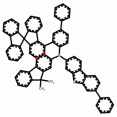 CC1(C)c2ccccc2-c2ccc(N(c3ccc4c(c3)sc3cc(-c5ccccc5)ccc34)c3ccc(-c4ccccc4)cc3-c3cccc4c3-c3ccccc3C43c4ccccc4-c4ccccc43)cc21